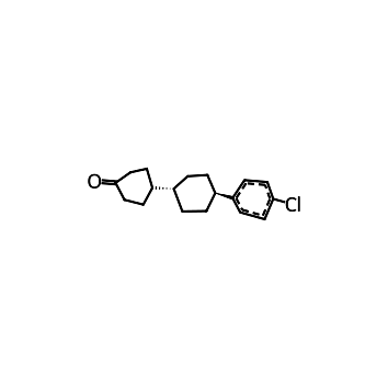 O=C1CCC([C@H]2CC[C@H](c3ccc(Cl)cc3)CC2)CC1